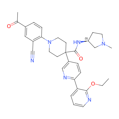 CCOc1ncccc1-c1ccc(C2(C(=O)N[C@H]3CCN(C)C3)CCN(c3ccc(C(C)=O)cc3C#N)CC2)cn1